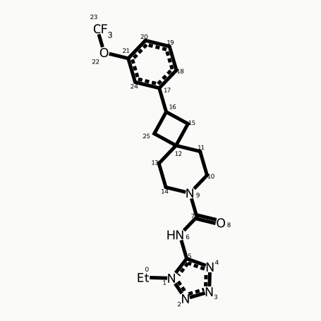 CCn1nnnc1NC(=O)N1CCC2(CC1)CC(c1cccc(OC(F)(F)F)c1)C2